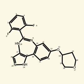 Fc1cccc(F)c1C1=Nc2cc(OC3CCOCC3)ccc2-c2[nH]ncc2N1